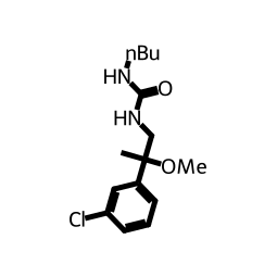 CCCCNC(=O)NCC(C)(OC)c1cccc(Cl)c1